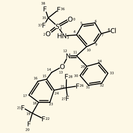 O=S(=O)(Nc1ccc(Cl)cc1/C(=N/OCc1ccc(C(F)(F)F)cc1C(F)(F)F)c1ccccc1)C(F)(F)F